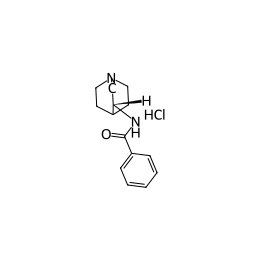 Cl.O=C(N[C@H]1CN2CCC1CC2)c1ccccc1